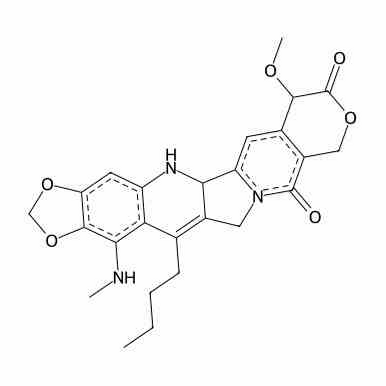 CCCCC1=C2Cn3c(cc4c(c3=O)COC(=O)C4OC)C2Nc2cc3c(c(NC)c21)OCO3